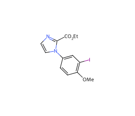 CCOC(=O)c1nccn1-c1ccc(OC)c(I)c1